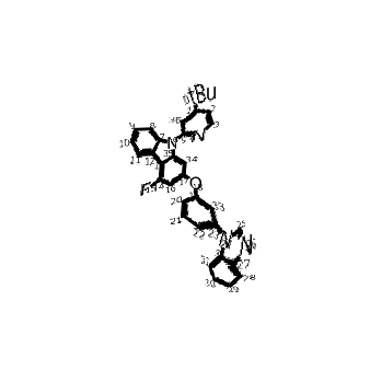 CC(C)(C)c1ccnc(-n2c3ccccc3c3c(F)cc(Oc4cccc(-n5cnc6ccccc65)c4)cc32)c1